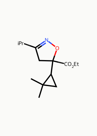 CCOC(=O)C1(C2CC2(C)C)CC(C(C)C)=NO1